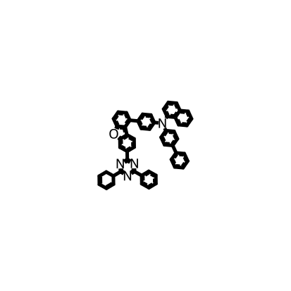 C1=CCC(c2nc(-c3ccccc3)nc(-c3ccc4c(c3)oc3cccc(-c5ccc(N(c6ccc(-c7ccccc7)cc6)c6cccc7ccccc67)cc5)c34)n2)C=C1